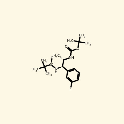 C[C@H](NC(=O)OC(C)(C)C)[C@H](N[S@+]([O-])C(C)(C)C)c1cccc(F)c1